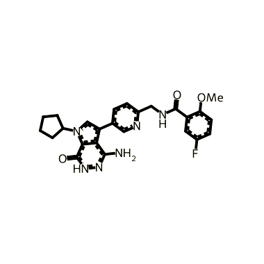 COc1ccc(F)cc1C(=O)NCc1ccc(-c2cn(C3CCCC3)c3c(=O)[nH]nc(N)c23)cn1